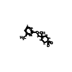 Cc1[c]cnc(OCC2(O)CCS(=O)(=O)CC2)n1